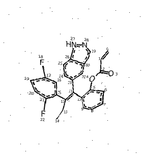 C=CC(=O)Oc1ccccc1/C(=C(\CC)c1cc(F)ccc1F)c1ccc2[nH]ncc2c1